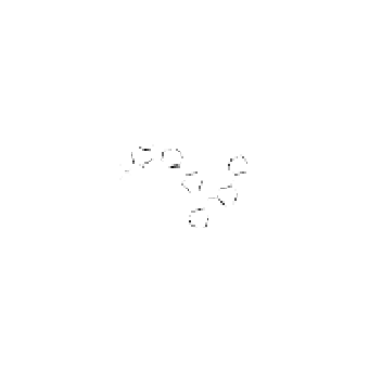 CC(C)(C)c1ccc2oc3ccc(-c4ccc(N(c5ccccc5)c5cccc(-c6ccccc6)c5)cc4)cc3c2c1